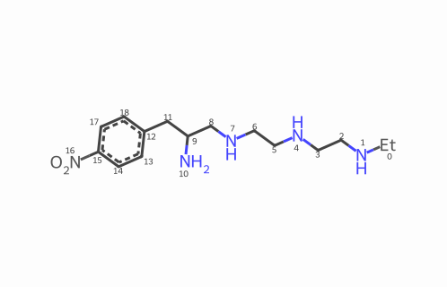 CCNCCNCCNCC(N)Cc1ccc([N+](=O)[O-])cc1